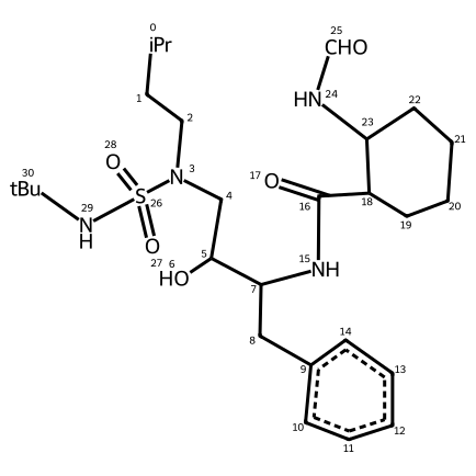 CC(C)CCN(CC(O)C(Cc1ccccc1)NC(=O)C1CCCCC1NC=O)S(=O)(=O)NC(C)(C)C